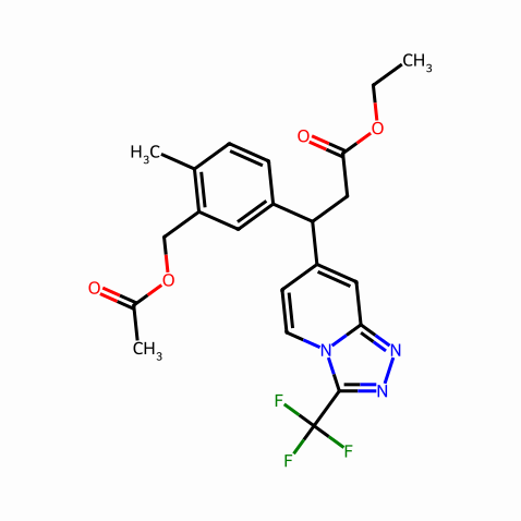 CCOC(=O)CC(c1ccc(C)c(COC(C)=O)c1)c1ccn2c(C(F)(F)F)nnc2c1